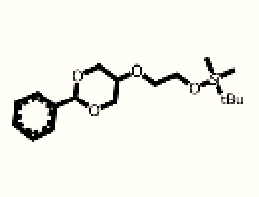 CC(C)(C)[Si](C)(C)OCCOC1COC(c2ccccc2)OC1